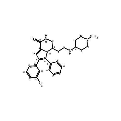 CN1CCC(NCCC2CNC(=O)c3cc(-c4cccc(Cl)c4)c(-c4ccccc4)n32)CC1